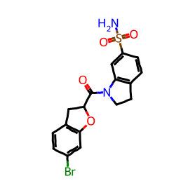 NS(=O)(=O)c1ccc2c(c1)N(C(=O)C1Cc3ccc(Br)cc3O1)CC2